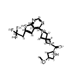 CO[C@@H]1CN[C@H](C(=O)N2CC3(C2)CN(c2ncnc4sc(CC(F)(F)F)cc24)C3)C1